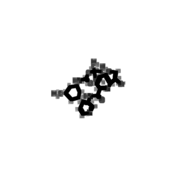 C[C@@H]1C[C@H](NC(=O)OC(C)(C)C)C[C@H](c2ccncc2NC(=O)c2ccc3occ(Br)c3n2)C1